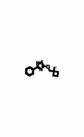 [CH2]C1(COc2nc(-c3ccccc3)ns2)CCC1